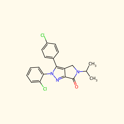 CC(C)N1Cc2c(nn(-c3ccccc3Cl)c2-c2ccc(Cl)cc2)C1=O